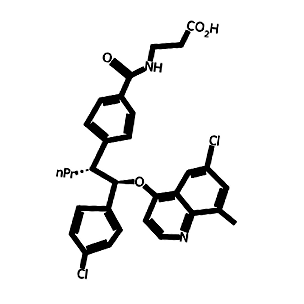 CCC[C@H](c1ccc(C(=O)NCCC(=O)O)cc1)[C@@H](Oc1ccnc2c(C)cc(Cl)cc12)c1ccc(Cl)cc1